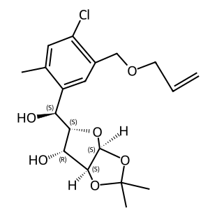 C=CCOCc1cc([C@H](O)[C@@H]2O[C@H]3OC(C)(C)O[C@H]3[C@@H]2O)c(C)cc1Cl